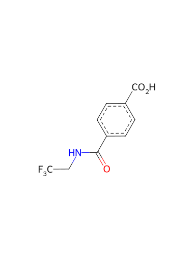 O=C(O)c1ccc(C(=O)NCC(F)(F)F)cc1